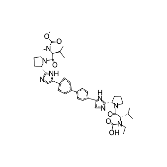 CCN(C(=O)O)[C@H](C(=O)N1CCC[C@H]1c1ncc(-c2ccc(-c3ccc(-c4cnc([C@@H]5CCCN5C(=O)[C@H](C(C)C)N(C)C(=O)OC)[nH]4)cc3)cc2)[nH]1)C(C)C